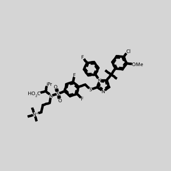 COc1cc(C(C)(C)c2cnc(SCc3c(F)cc(S(=O)(=O)N(CCC[N+](C)(C)C)C(C(=O)O)C(C)C)cc3F)n2-c2ccc(F)cc2)ccc1Cl